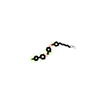 CCCCCCCC1CCC(C(F)(F)Oc2cc(F)c(C(F)(F)Oc3cc(F)c(-c4cc(F)c(C(F)(F)F)c(F)c4)c(F)c3)c(F)c2)CC1